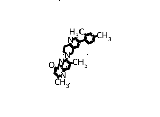 Cc1ccc(-c2cnc3c(c2)CN(c2nn4c(=O)cc(C)nc4cc2C)CC3)c(C)c1